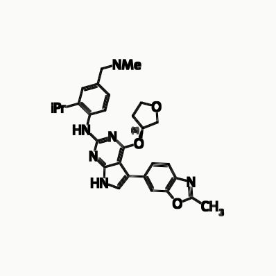 CNCc1ccc(Nc2nc(O[C@H]3CCOC3)c3c(-c4ccc5nc(C)oc5c4)c[nH]c3n2)c(C(C)C)c1